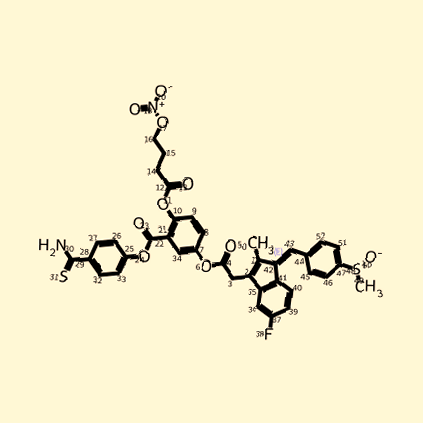 CC1=C(CC(=O)Oc2ccc(OC(=O)CCCO[N+](=O)[O-])c(C(=O)Oc3ccc(C(N)=S)cc3)c2)c2cc(F)ccc2/C1=C\c1ccc([S+](C)[O-])cc1